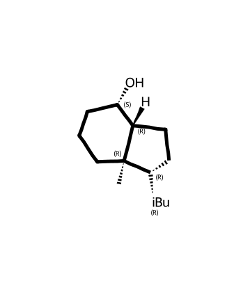 CC[C@@H](C)[C@H]1CC[C@H]2[C@@H](O)CCC[C@]12C